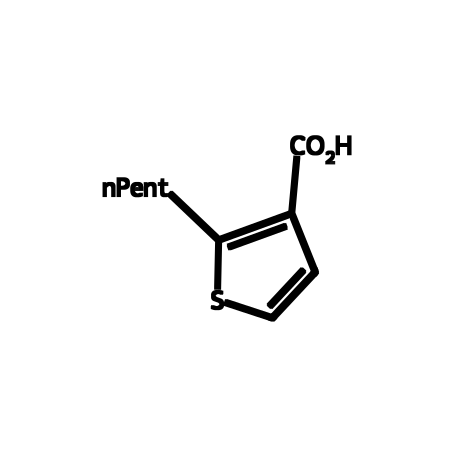 CCCCCc1sccc1C(=O)O